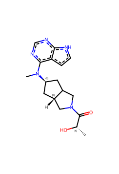 C[C@H](O)C(=O)N1CC2C[C@H](N(C)c3ncnc4[nH]ccc34)C[C@H]2C1